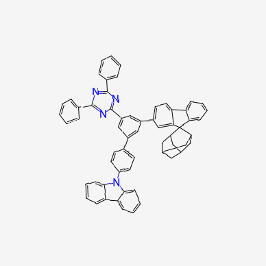 c1ccc(-c2nc(-c3ccccc3)nc(-c3cc(-c4ccc(-n5c6ccccc6c6ccccc65)cc4)cc(-c4ccc5c(c4)C4(c6ccccc6-5)C5CC6CC(C5)CC4C6)c3)n2)cc1